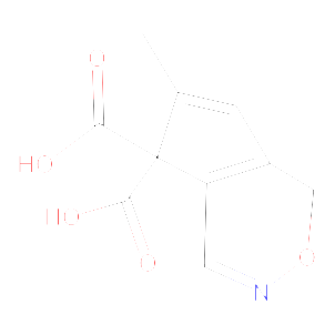 CC1=CC2=C(C=NOC2)C1(C(=O)O)C(=O)O